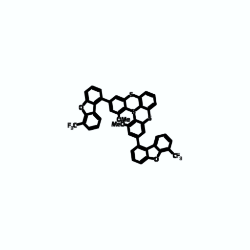 COc1cc(-c2cccc3oc4c(C(F)(F)F)cccc4c23)cc2c1B1c3c(OC)cc(-c4cccc5oc6c(C(F)(F)F)cccc6c45)cc3Sc3cccc(c31)S2